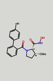 CCCc1ccc(-c2ccccc2C(=O)N2CC[C@@H](OC)[C@H]2C(=O)NO)cc1